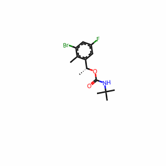 Cc1c(Br)cc(F)cc1[C@@H](C)OC(=O)NC(C)(C)C